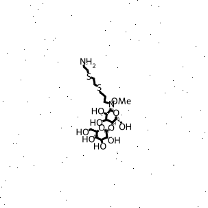 CON(CCCSCCSCCN)[C@@H]1O[C@H](CO)[C@@H](O[C@@H]2OC(CO)[C@H](O)C(O)C2O)C(O)C1O